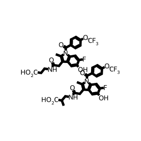 Cc1c(CC(=O)NCC(C)C(=O)O)c2cc(O)c(F)cc2n1C(=O)c1ccc(OC(F)(F)F)cc1.Cc1c(CC(=O)NCCC(=O)O)c2cc(O)c(F)cc2n1C(=O)c1ccc(OC(F)(F)F)cc1